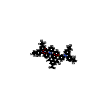 CC(C)c1cc(C(C)C)c(-c2cc(Sc3cccc(-n4c5ccc(C(C)(C)C)cc5c5cc(C(C)(C)C)ccc54)c3)cc(N(c3cccc(-n4c5ccc(C(C)(C)C)cc5c5cc(C(C)(C)C)ccc54)c3)c3c(-c4ccccc4)cccc3-c3ccccc3)c2)c(C(C)C)c1